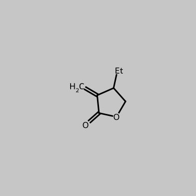 C=C1C(=O)OCC1CC